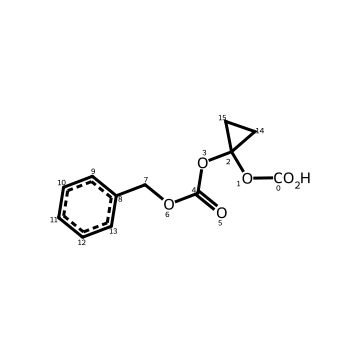 O=C(O)OC1(OC(=O)OCc2ccccc2)CC1